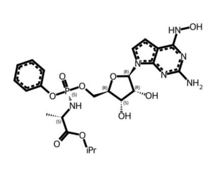 CC(C)OC(=O)[C@H](C)N[P@](=O)(OC[C@H]1O[C@@H](n2ccc3c(NO)nc(N)nc32)[C@H](O)[C@@H]1O)Oc1ccccc1